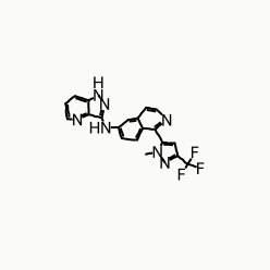 Cn1nc(C(F)(F)F)cc1-c1nccc2cc(Nc3n[nH]c4cccnc34)ccc12